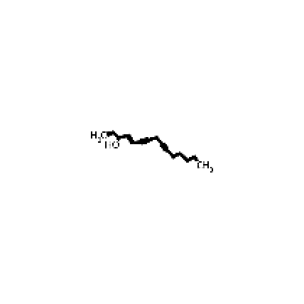 C=CC(O)C=CC#CCC#CCCCCC